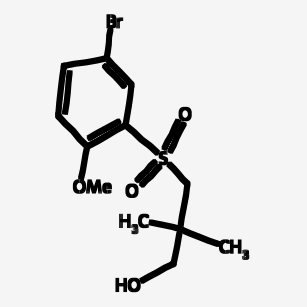 COc1ccc(Br)cc1S(=O)(=O)CC(C)(C)CO